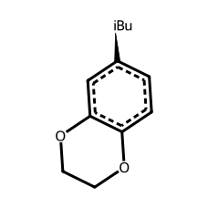 CC[C@H](C)c1ccc2c(c1)OCCO2